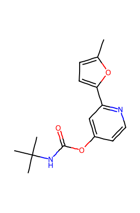 Cc1ccc(-c2cc(OC(=O)NC(C)(C)C)ccn2)o1